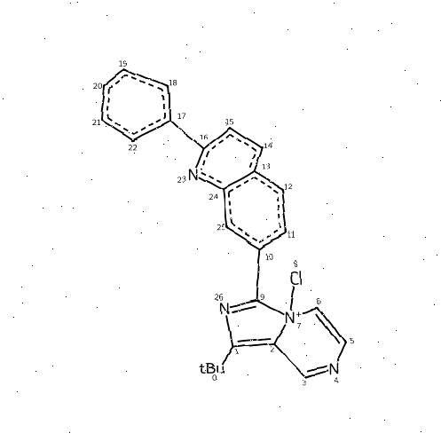 CC(C)(C)C1=C2C=NC=C[N+]2(Cl)C(c2ccc3ccc(-c4ccccc4)nc3c2)=N1